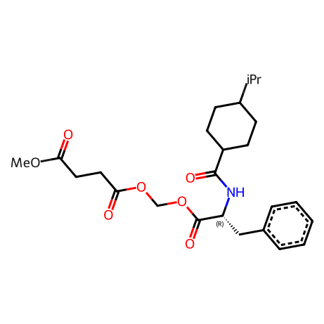 COC(=O)CCC(=O)OCOC(=O)[C@@H](Cc1ccccc1)NC(=O)C1CCC(C(C)C)CC1